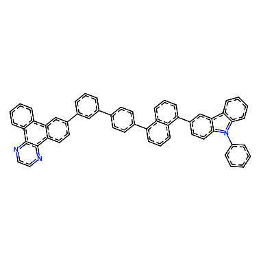 c1ccc(-n2c3ccccc3c3cc(-c4cccc5c(-c6ccc(-c7cccc(-c8ccc9c(c8)c8ccccc8c8nccnc98)c7)cc6)cccc45)ccc32)cc1